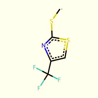 [CH2]Sc1nc(C(F)(F)F)cs1